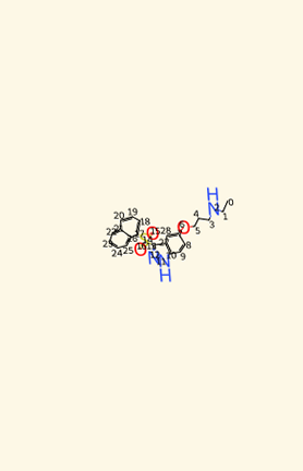 CCNCCCOc1ccc2[nH]nc(S(=O)(=O)c3cccc4ccccc34)c2c1